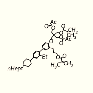 C=C(C)C(=O)OCCCc1cc(-c2ccc(C3CCC(CCCCCCC)CC3)cc2CC)ccc1OCC(COC(=O)C(=C)C)(COC(=O)C(C)=O)COC(=O)C(C)=O